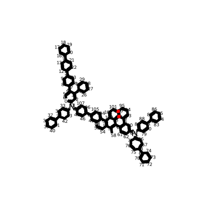 C=C(/C=C(\C(=C/C)c1ccc(-c2ccc(-c3ccccc3)cc2)cc1)c1ccccc1)N(C1=CC=C(c2ccccc2)CC1)c1ccc(-c2ccc(-c3c(/C=C\C)c(C)c(-c4ccc(N(C5=CC=C(c6ccccc6)C=CC5)c5ccc(-c6ccccc6)cc5)cc4-c4ccccc4)c4ccccc34)cc2)cc1